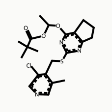 Cc1cncc(Cl)c1CSc1nc2c(c(OC(C)OC(=O)C(C)(C)C)n1)CCC2